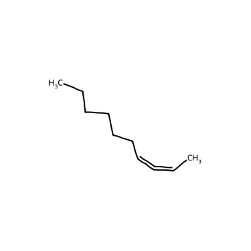 CC=C=CCCCCCC